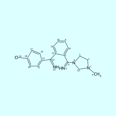 CN1CCN(C(=N)c2ccccc2C(=N)c2ccc(Cl)cc2)C1